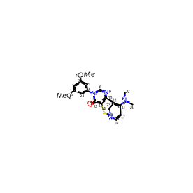 COc1cc(OC)cc(-n2cnc3c(c2=O)SN2C=CC(N(C)C)=C3C2)c1